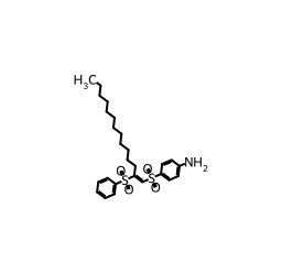 CCCCCCCCCCCCC(=CS(=O)(=O)c1ccc(N)cc1)S(=O)(=O)c1ccccc1